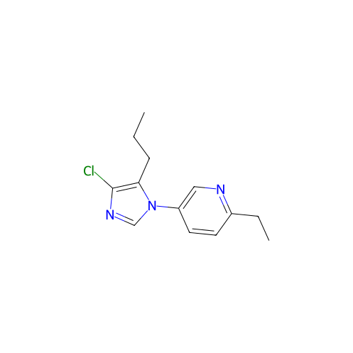 CCCc1c(Cl)ncn1-c1ccc(CC)nc1